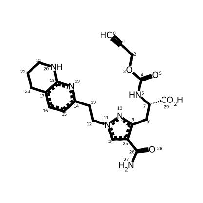 C#CCOC(=O)N[C@@H](Cc1nn(CCc2ccc3c(n2)NCCC3)cc1C(N)=O)C(=O)O